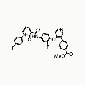 COC(=O)c1ccc(-c2cnccc2Oc2ccc(NC(=O)c3cccn(-c4ccc(F)cc4)c3=O)cc2F)cc1